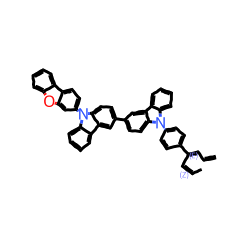 C=C/C=C(\C=C/C)c1ccc(-n2c3ccccc3c3cc(-c4ccc5c(c4)c4ccccc4n5-c4ccc5c(c4)oc4ccccc45)ccc32)cc1